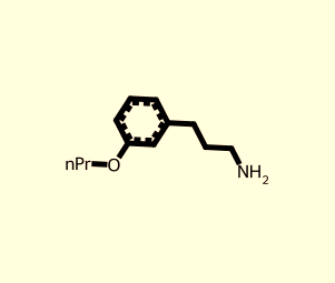 CCCOc1cccc(CCCN)c1